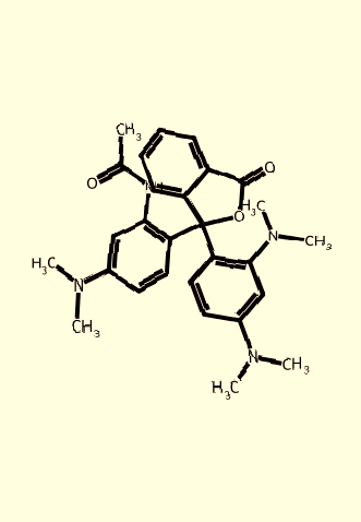 CC(=O)Nc1cc(N(C)C)ccc1C1(c2ccc(N(C)C)cc2N(C)C)OC(=O)c2ccccc21